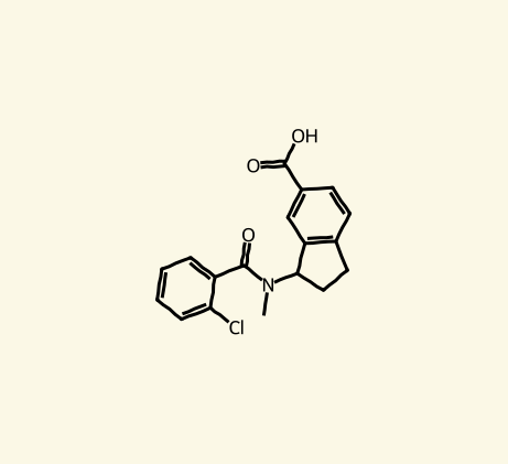 CN(C(=O)c1ccccc1Cl)C1CCc2ccc(C(=O)O)cc21